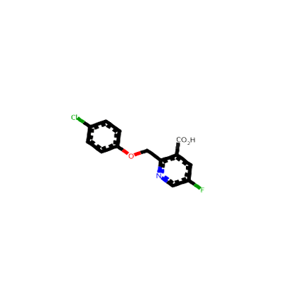 O=C(O)c1cc(F)cnc1COc1ccc(Cl)cc1